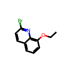 CCOc1cccc2ccc(Br)nc12